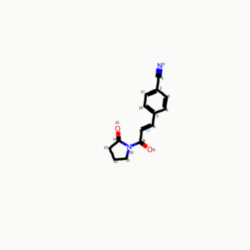 N#Cc1ccc(/C=C/C(=O)N2CCCC2=O)cc1